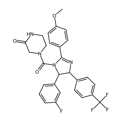 COc1ccc(C2=NC(c3ccc(C(F)(F)F)cc3)C(c3cccc(F)c3)N2C(=O)N2CCNC(=O)C2)cc1